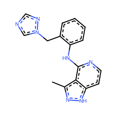 Cc1n[nH]c2ccnc(Nc3ccccc3Cn3cncn3)c12